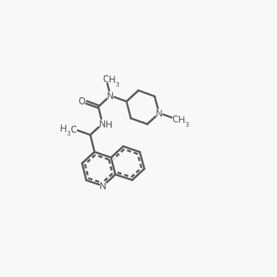 CC(NC(=O)N(C)C1CCN(C)CC1)c1ccnc2ccccc12